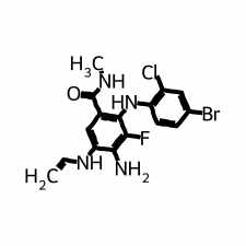 C=CNc1cc(C(=O)NC)c(Nc2ccc(Br)cc2Cl)c(F)c1N